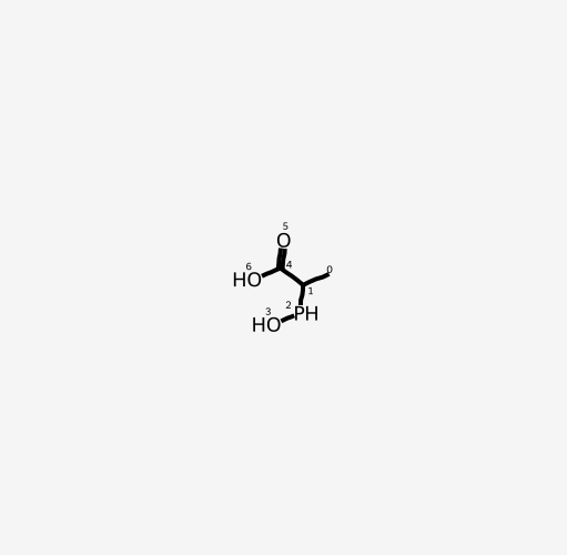 CC(PO)C(=O)O